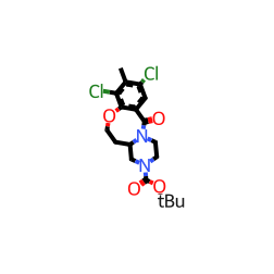 Cc1c(Cl)cc2c(c1Cl)OCCC1CN(C(=O)OC(C)(C)C)CCN1C2=O